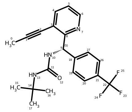 CC#Cc1cccnc1[C@@H](NC(=O)NC(C)(C)C)c1ccc(C(F)(F)F)cc1